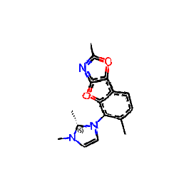 Cc1nc2oc3c(N4C=CN(C)[C@@H]4C)c(C)ccc3c2o1